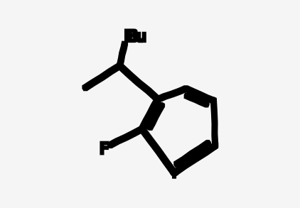 CCC(C)C(C)c1ccc[c]c1F